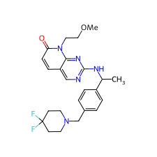 COCCn1c(=O)ccc2cnc(NC(C)c3ccc(CN4CCC(F)(F)CC4)cc3)nc21